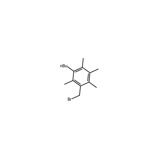 CCCCc1c(C)c(C)c(C)c(CBr)c1C